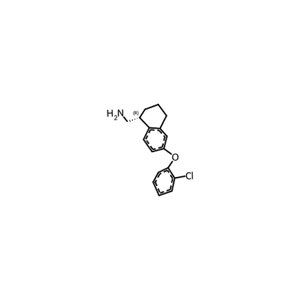 NC[C@@H]1CCCc2cc(Oc3ccccc3Cl)ccc21